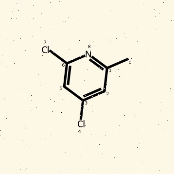 [CH2]c1cc(Cl)cc(Cl)n1